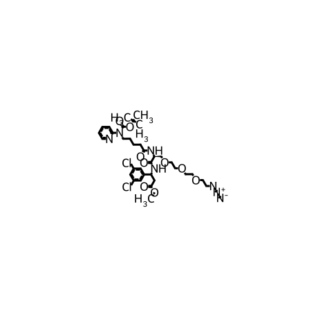 COC(=O)CC(NC(=O)[C@H](COCCOCCOCCN=[N+]=[N-])NC(=O)CCCCN(C(=O)OC(C)(C)C)c1ccccn1)c1cc(Cl)cc(Cl)c1